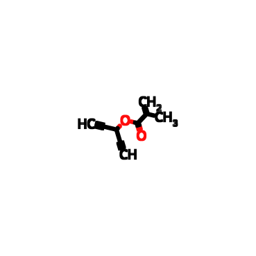 C#CC(C#C)OC(=O)C(=C)C